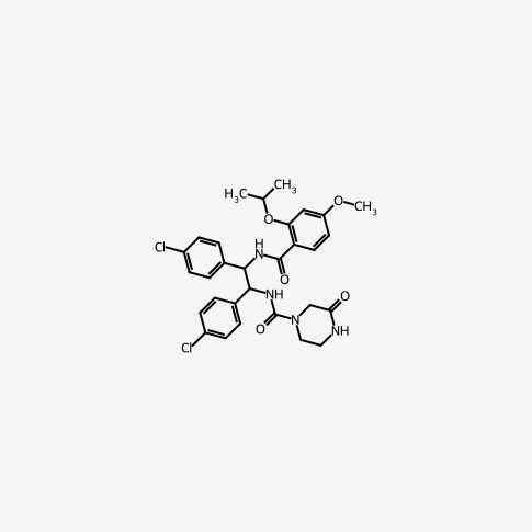 COc1ccc(C(=O)NC(c2ccc(Cl)cc2)C(NC(=O)N2CCNC(=O)C2)c2ccc(Cl)cc2)c(OC(C)C)c1